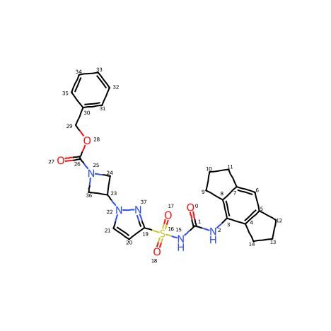 O=C(Nc1c2c(cc3c1CCC3)CCC2)NS(=O)(=O)c1ccn(C2CN(C(=O)OCc3ccccc3)C2)n1